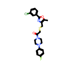 Cc1oc(-c2cccc(Cl)c2)nc1CSCC(=O)N1CCN(c2ccc(F)cc2)CC1